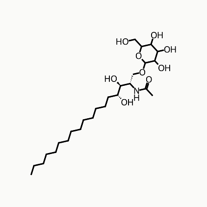 CCCCCCCCCCCCCC[C@@H](O)[C@@H](O)[C@H](COC1OC(CO)C(O)C(O)C1O)NC(C)=O